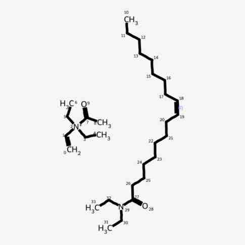 C=C[N+](CC)(CC)C(C)=O.CCCCCCCC/C=C\CCCCCCCC(=O)N(CC)CC